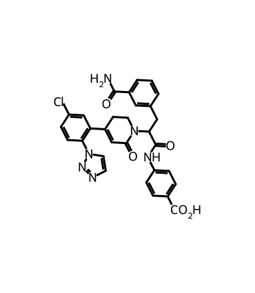 NC(=O)c1cccc(CC(C(=O)Nc2ccc(C(=O)O)cc2)N2CCC(c3cc(Cl)ccc3-n3ccnn3)=CC2=O)c1